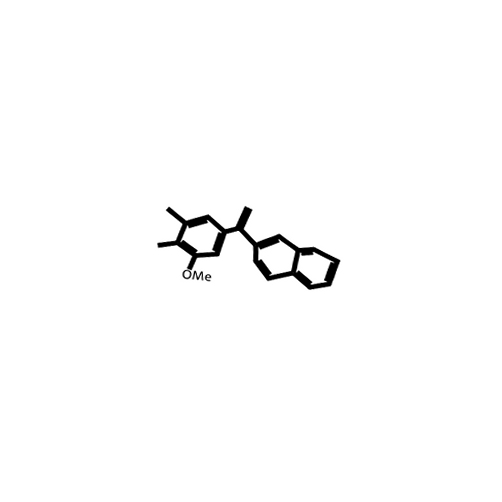 C=C(c1cc(C)c(C)c(OC)c1)c1ccc2ccccc2c1